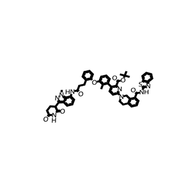 Cc1c(Oc2ccccc2CCC(=O)Nc2cccc3c(C4CCC(=O)NC4=O)nn(C)c23)cccc1-c1ccc(N2CCc3cccc(C(=O)Nc4nc5ccccc5s4)c3C2)nc1C(=O)OC(C)(C)C